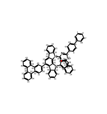 c1ccc(-c2ccc(-c3nc(-c4ccccc4)nc(-n4c5ccccc5c5cc(-c6ccc7c8ccccc8c8ccccc8c7c6)c6c7ccccc7n(-c7ccccc7)c6c54)n3)cc2)cc1